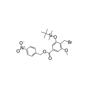 COc1cc(C(=O)OCc2ccc([N+](=O)[O-])cc2)cc(O[Si](C)(C)C(C)(C)C)c1CBr